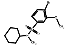 COc1cc(S(=O)(=O)N(C)C2CCCCC2)ccc1Br